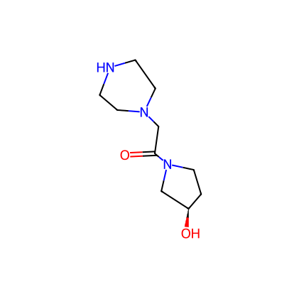 O=C(CN1CCNCC1)N1CC[C@@H](O)C1